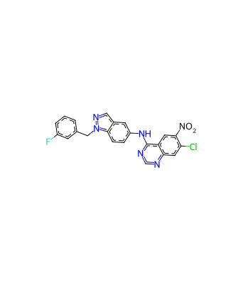 O=[N+]([O-])c1cc2c(Nc3ccc4c(cnn4Cc4cccc(F)c4)c3)ncnc2cc1Cl